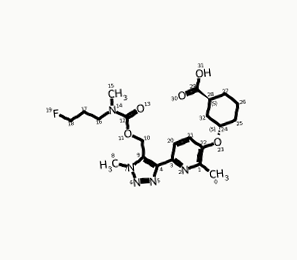 Cc1nc(-c2nnn(C)c2COC(=O)N(C)CCCF)ccc1O[C@H]1CCC[C@H](C(=O)O)C1